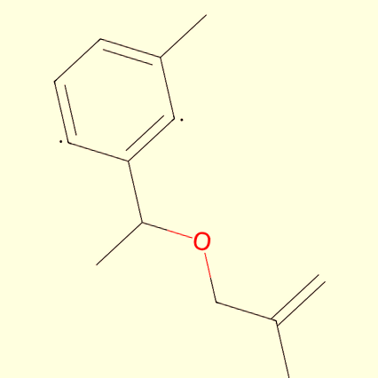 C=C(C)COC(C)c1[c]ccc(C)[c]1